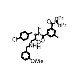 CCCN(CCC)C(=O)c1cc(C)cc(C(=O)N[C@@H](Cc2ccc(Cl)cc2)[C@H](O)CNCc2cccc(OC)c2)c1